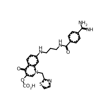 N=C(N)c1ccc(C(=O)NCCCNc2ccc3c(=O)c(OC(=O)O)cn(Cc4nccs4)c3c2)cc1